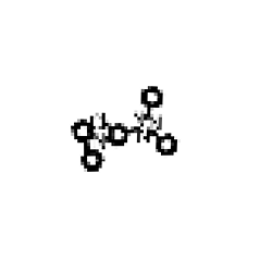 Clc1cc(-c2nc(-c3ccccc3)nc(-c3ccccc3)n2)ccc1-n1c2ccccc2c2ccccc21